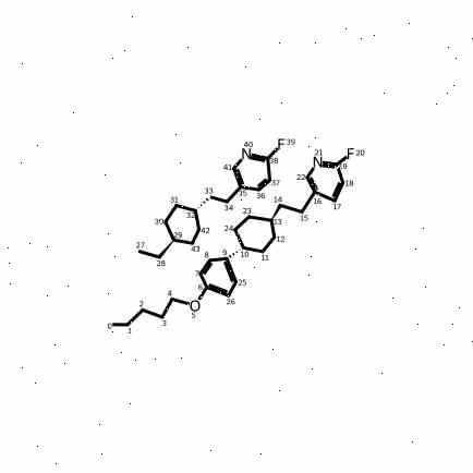 CCCCCOc1ccc([C@H]2CC[C@H](CCc3ccc(F)nc3)CC2)cc1.CC[C@H]1CC[C@H](CCc2ccc(F)nc2)CC1